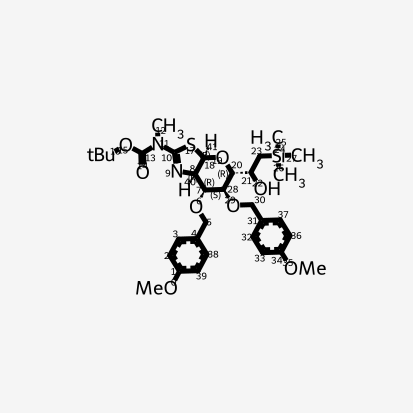 COc1ccc(CO[C@@H]2[C@H]3N=C(N(C)C(=O)OC(C)(C)C)S[C@H]3O[C@H](C(O)C[Si](C)(C)C)[C@H]2OCc2ccc(OC)cc2)cc1